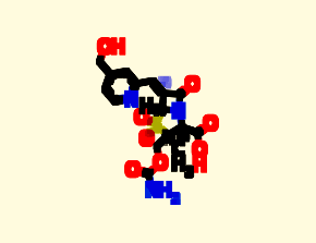 C[C@]1(COC(N)=O)[C@H](C(=O)O)N2C(=O)/C(=C/c3cc(CO)ccn3)[C@H]2S1(=O)=O